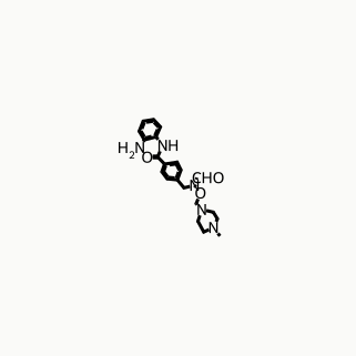 CN1CCN(CON(C=O)Cc2ccc(C(=O)Nc3ccccc3N)cc2)CC1